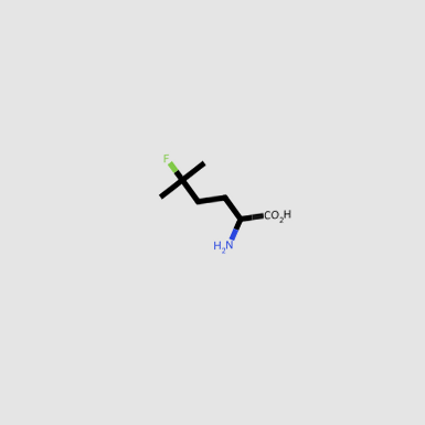 CC(C)(F)CCC(N)C(=O)O